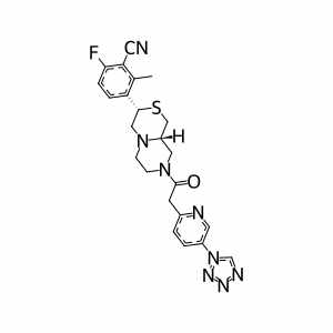 Cc1c([C@H]2CN3CCN(C(=O)Cc4ccc(-n5cnnn5)cn4)C[C@H]3CS2)ccc(F)c1C#N